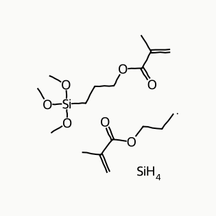 C=C(C)C(=O)OCCC[Si](OC)(OC)OC.[CH2]CCOC(=O)C(=C)C.[SiH4]